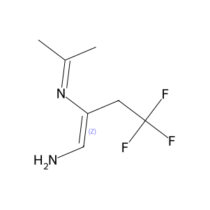 CC(C)=N/C(=C\N)CC(F)(F)F